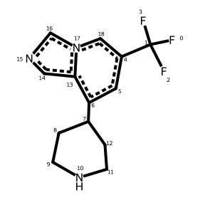 FC(F)(F)c1cc(C2CCNCC2)c2cncn2c1